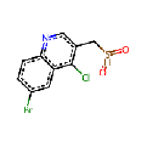 O=[SH](=O)Cc1cnc2ccc(Br)cc2c1Cl